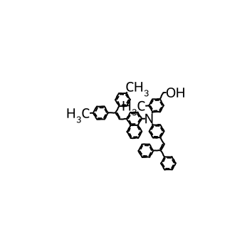 Cc1ccc(C(=Cc2ccc(N(c3ccc(C=C(c4ccccc4)c4ccccc4)cc3)c3ccc(CO)cc3C)c3ccccc23)c2ccc(C)cc2)cc1